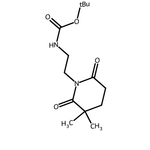 CC(C)(C)OC(=O)NCCN1C(=O)CCC(C)(C)C1=O